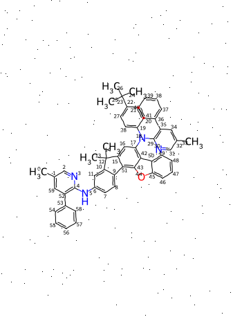 Cc1cnc(Nc2ccc3c(c2)C(C)(C)c2cc(N(c4ccc(C(C)(C)C)cc4)c4ncc(C)cc4-c4ccccc4)c4c(oc5ccccc54)c2-3)c(-c2ccccc2)c1